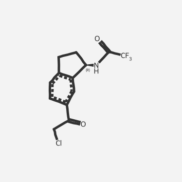 O=C(CCl)c1ccc2c(c1)[C@H](NC(=O)C(F)(F)F)CC2